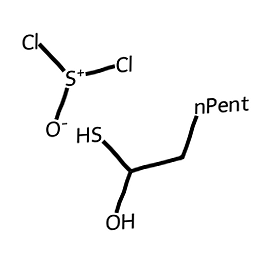 CCCCCCC(O)S.[O-][S+](Cl)Cl